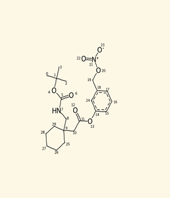 CC(C)(C)OC(=O)NCC1(CC(=O)Oc2cccc(CO[N+](=O)[O-])c2)CCCCC1